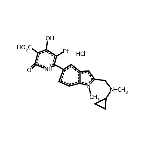 CCc1c(-c2ccc3c(c2)cc(CN(C)C2CC2)n3C)[nH]c(=O)c(C(=O)O)c1O.Cl